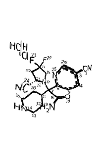 Cl.Cl.N#Cc1ccc(C(C(N)=O)(C2CCNCC2)N2CC(F)(F)C[C@H]2C#N)nc1